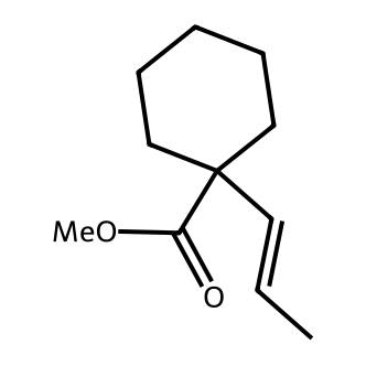 CC=CC1(C(=O)OC)CCCCC1